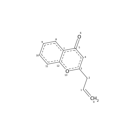 C=CCc1cc(=O)c2ccccc2o1